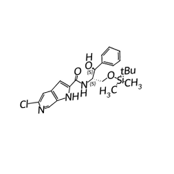 CC(C)(C)[Si](C)(C)OC[C@H](NC(=O)c1cc2cc(Cl)ncc2[nH]1)[C@@H](O)c1ccccc1